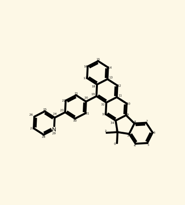 CC1(C)c2ccccc2-c2cc3cc4ccccc4c(-c4ccc(-c5ccccn5)cc4)c3cc21